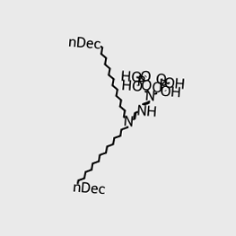 CCCCCCCCCCCCCCCCCCCCCCCCN(C=CNC=CN(COP(=O)(O)O)COP(=O)(O)O)CCCCCCCCCCCCCCCCCCCCCCCC